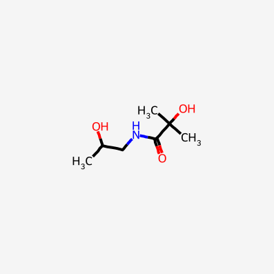 CC(O)CNC(=O)C(C)(C)O